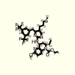 CCOC(=O)N1c2ccc(OC)nc2[C@@H](Nc2ncc(CCCSC)c(Cc3cc(C(F)(F)F)cc(C(F)(F)F)c3)n2)C[C@H]1CC